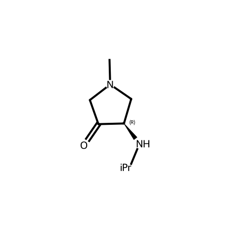 CC(C)N[C@@H]1CN(C)CC1=O